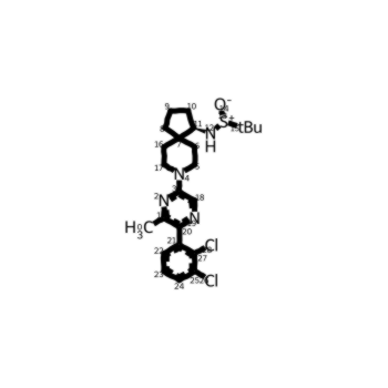 Cc1nc(N2CCC3(CCC[C@H]3N[S+]([O-])C(C)(C)C)CC2)cnc1-c1cccc(Cl)c1Cl